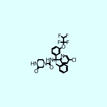 O=C1CN(C(=O)N[C@@](Cc2ccccc2)(c2cccc(OC(F)(F)C(F)F)c2)c2ccc(Cl)cn2)CCN1